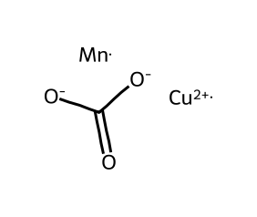 O=C([O-])[O-].[Cu+2].[Mn]